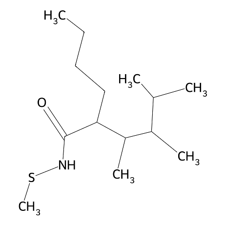 CCCCC(C(=O)NSC)C(C)C(C)C(C)C